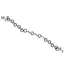 COCCOCCOCCOCCCc1ccc(/C=C/c2ccc(/C=C/c3ccc(OCCOCCOCCOCCOC)cc3)cc2)cc1